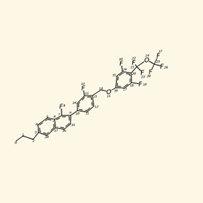 CCCc1ccc2c(F)c(-c3ccc(COc4cc(F)c(C(F)(F)OC(F)(F)F)c(F)c4)c(F)c3)ccc2c1